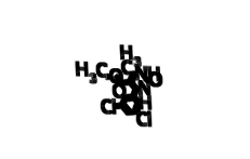 CCOC(=O)C1=C(C)NC(=O)NC1c1cc(Cl)cc(Cl)c1